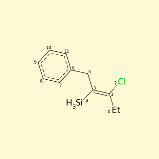 CCC(Cl)=C([SiH3])Cc1ccccc1